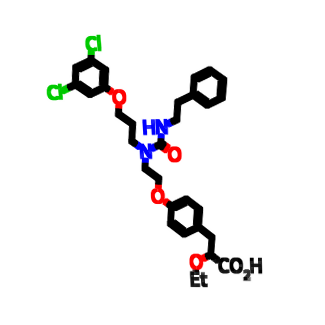 CCOC(Cc1ccc(OCCN(CCCOc2cc(Cl)cc(Cl)c2)C(=O)NCCc2ccccc2)cc1)C(=O)O